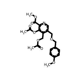 COC(=O)c1ncc(COCc2ccc(OC)cc2)c(COC(C)=O)c1OC(C)=O